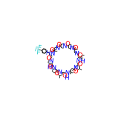 CC[C@H](C)C1NC(=O)C(CC(C)C)N(C)C(=O)CC(C)NC(=O)C(CC(C)C)N(C)C(=O)C2(CCCC2)NC(=O)C2CCCN2C(=O)C(CCc2ccc(C(F)(F)F)cc2)NC(=O)CN(C)C(=O)CN(C)C(=O)CN(C)C(=O)CN(C)C1=O